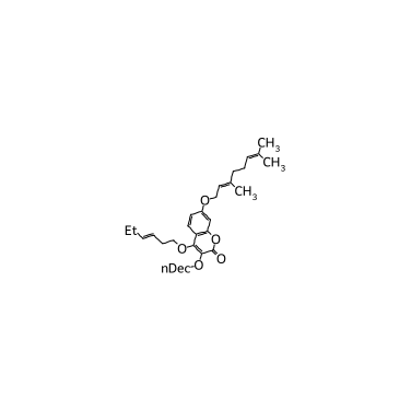 CCC=CCCOc1c(OCCCCCCCCCC)c(=O)oc2cc(OC/C=C(\C)CCC=C(C)C)ccc12